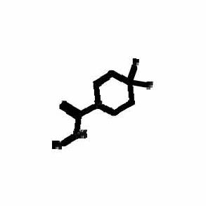 C=C(NC(C)C)N1CCC(F)(F)CC1